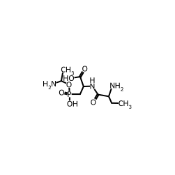 CCC(N)C(=O)NC(CP(=O)(O)OC(C)N)C(=O)O